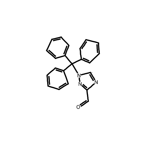 O=Cc1n[c]n(C(c2ccccc2)(c2ccccc2)c2ccccc2)n1